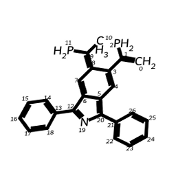 C=C(P)c1cc2c(c/c1=C(/C)P)C(c1ccccc1)=NC=2c1ccccc1